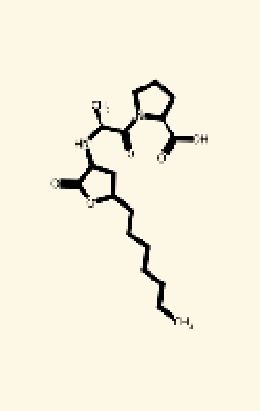 CCCCCCCC1CC(N[C@@H](C)C(=O)N2CCC[C@H]2C(=O)O)C(=O)O1